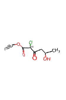 CCCCOC(=O)[C@@H](Cl)C(=O)CC(C)O